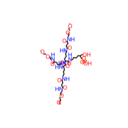 COCCOCCNC(=O)CCC(=O)NCCCCC(NC(=O)CCC(=O)NCCOCCOC)C(=O)NC(CCCCNC(=O)CCC(=O)NCCOCCOC)C(=O)NCCCCC(CO)COP(C)(=O)O